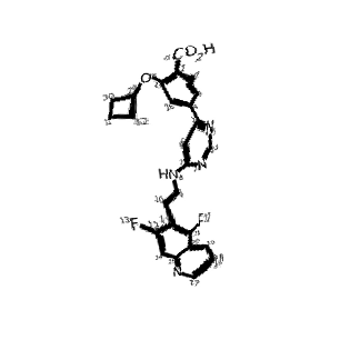 O=C(O)c1ccc(-c2cc(NCCc3c(F)cc4ncccc4c3F)ncn2)cc1OC1CCC1